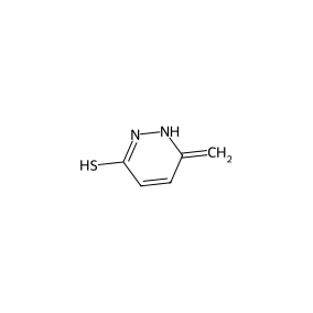 C=C1C=CC(S)=NN1